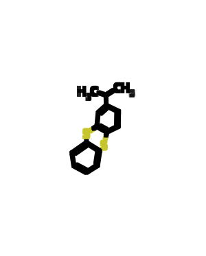 CC(C)c1ccc2c(c1)Sc1ccccc1S2